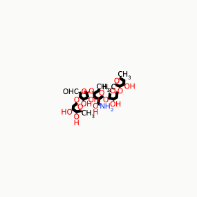 CC1O[C@H](O[C@@H]2CO[C@@H](O[C@@H]3C(C)O[C@H](C)C[C@H]3O)C[C@H]2O)C(C(N)O)C[C@@H]1O[C@@H]1O[C@@H](C=O)[C@@H](O[C@@H]2C[C@@H](O)[C@H](O)[C@H](C)O2)[C@H](O)C1O